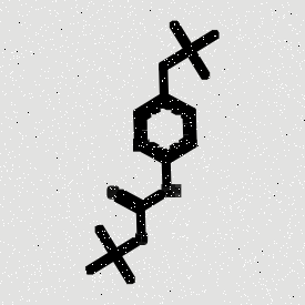 CC(C)(C)Cc1ccc(NC(=O)OC(C)(C)C)nc1